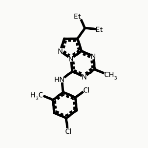 CCC(CC)c1cnn2c(Nc3c(C)cc(Cl)cc3Cl)nc(C)nc12